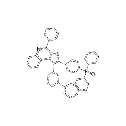 O=P(c1ccccc1)(c1ccccc1)c1ccc(-c2sc3c(-c4ccccc4)nc4ccccc4c3c2-c2cccc(-c3ccccc3)c2)cc1